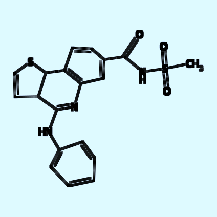 CS(=O)(=O)NC(=O)c1ccc2c(c1)N=C(Nc1ccccc1)C1C=CSC21